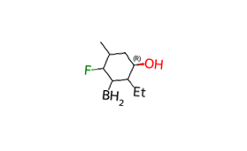 BC1C(F)C(C)C[C@@H](O)C1CC